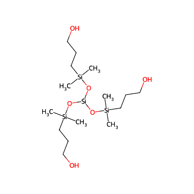 C[Si](C)(CCCO)O[Si](O[Si](C)(C)CCCO)O[Si](C)(C)CCCO